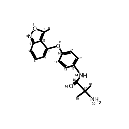 Cc1onc2cccc(Oc3ccc(NC(=O)C(C)(C)N)cc3)c12